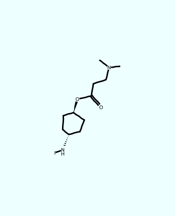 CN(C)CCC(=O)O[C@H]1CC[C@H](NI)CC1